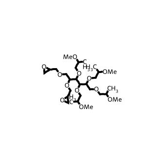 COC(C)COCC(OCC(C)OC)C(OCC(C)OC)C(OCC(C)OC)C(COCC1CO1)OCC1CO1